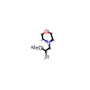 CCC(CN1CCOCC1)OC